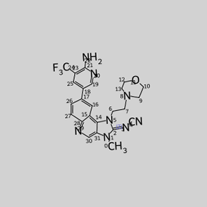 Cn1/c(=N/C#N)n(CCN2CCOCC2)c2c3cc(-c4cnc(N)c(C(F)(F)F)c4)ccc3ncc21